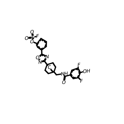 O=C(NCC12CCC(c3noc(-c4cccc(OS(=O)(=O)F)c4)n3)(CC1)CC2)c1cc(F)c(O)c(F)c1